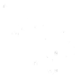 CCCCOc1cc(CC(C)C)ccc1COc1ccc(C(=O)c2cn(CCC(CC)C(=O)O)c3ccccc23)cc1